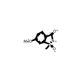 COc1ccc2c(c1)S(C)(=O)=NC2=O